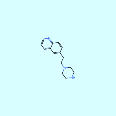 c1cnc2ccc(CCN3CCNCC3)cc2c1